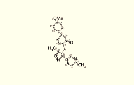 COc1ccc(-c2cnn(Cc3c(-c4ccc(C)nc4)noc3C)c(=O)c2)cc1